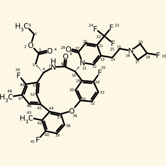 CCOC(=O)C[C@@H]1NC(=O)[C@H](n2cc(CCN3CC(F)C3)c(C(F)(F)F)cc2=O)c2cc(ccc2F)Oc2ccc(F)c(C)c2-c2cc(C)c(F)c1c2